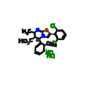 COc1ccccc1[C@H]1C(C(=O)O)=C(C)N=C2SC(c3c(Cl)cccc3Cl)=CN21.Cl.Cl